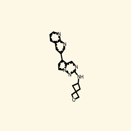 c1cnc2ncc(-c3ccn4nc(NC5CC6(COC6)C5)ncc34)cc2c1